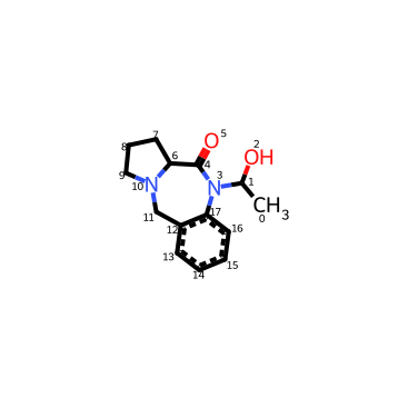 CC(O)N1C(=O)C2CCCN2Cc2ccccc21